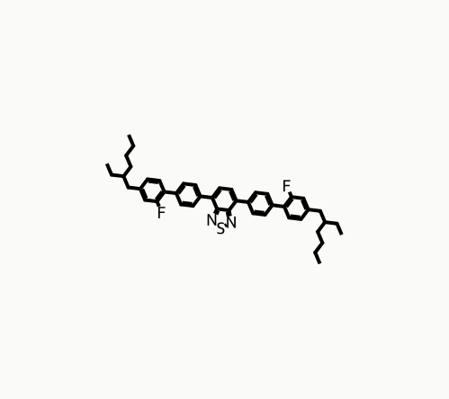 CCCCC(CC)Cc1ccc(-c2ccc(-c3ccc(-c4ccc(-c5ccc(CC(CC)CCCC)cc5F)cc4)c4nsnc34)cc2)c(F)c1